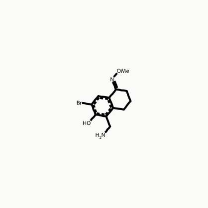 CON=C1CCCc2c1cc(Br)c(O)c2CN